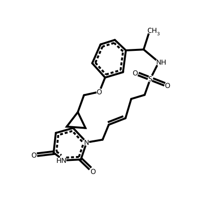 CC(NS(=O)(=O)CCC=CCn1ccc(=O)[nH]c1=O)c1cccc(OCC2CC2)c1